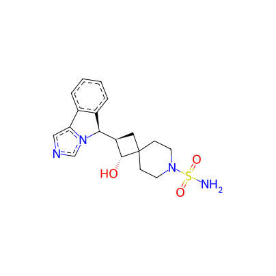 NS(=O)(=O)N1CCC2(CC1)C[C@H]([C@@H]1c3ccccc3-c3cncn31)[C@H]2O